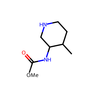 COC(=O)NC1CNCCC1C